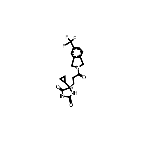 O=C1NC(=O)[C@](CCC(=O)N2Cc3ccc(C(F)(F)F)cc3C2)(C2CC2)N1